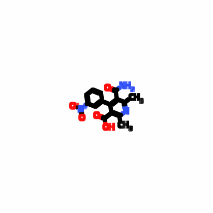 Cc1nc(C)c(C(=O)O)c(-c2cccc([N+](=O)[O-])c2)c1C(N)=O